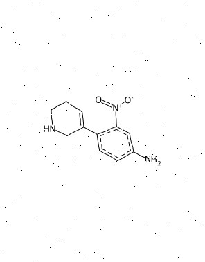 Nc1ccc(C2=CCCNC2)c([N+](=O)[O-])c1